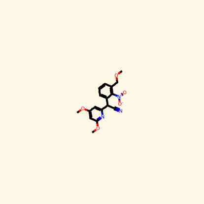 COCc1cccc(C(C#N)c2cc(OC)cc(OC)n2)c1[N+](=O)[O-]